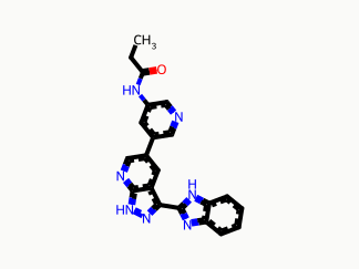 CCC(=O)Nc1cncc(-c2cnc3[nH]nc(-c4nc5ccccc5[nH]4)c3c2)c1